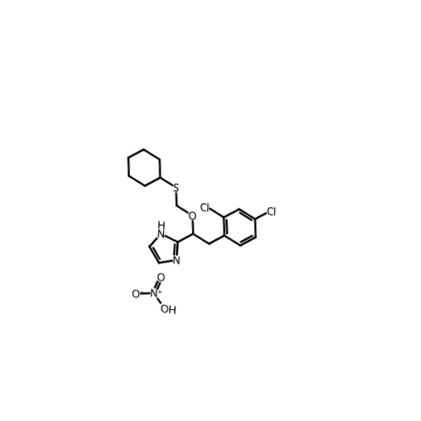 Clc1ccc(CC(OCSC2CCCCC2)c2ncc[nH]2)c(Cl)c1.O=[N+]([O-])O